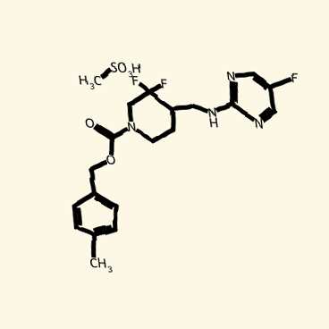 CS(=O)(=O)O.Cc1ccc(COC(=O)N2CCC(CNc3ncc(F)cn3)C(F)(F)C2)cc1